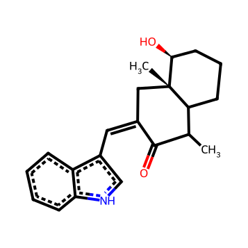 CC1C(=O)/C(=C\c2c[nH]c3ccccc23)C[C@@]2(C)C1CCC[C@@H]2O